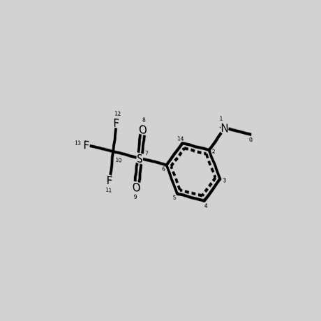 C[N]c1cccc(S(=O)(=O)C(F)(F)F)c1